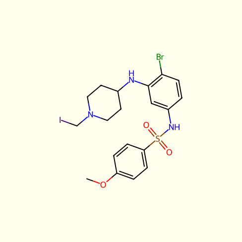 COc1ccc(S(=O)(=O)Nc2ccc(Br)c(NC3CCN(CI)CC3)c2)cc1